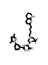 Cc1cc(C)n(-c2cccc(C(=O)N[C@@H](CCN(CCCCc3ccc4c(n3)NCCC4)CC(F)(F)F)C(=O)O)c2)n1